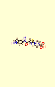 O=C(Nc1ccc2[nH]ccc2c1)c1csc(N2CCN(C(=O)O)CC2)n1